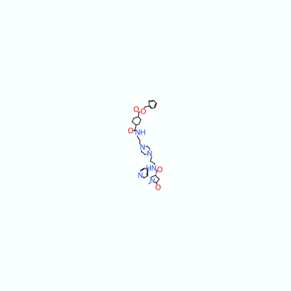 CN1C(=O)C[C@H](C(=O)NCCCN2CCN(CCCNC(=O)C3CCC(C(=O)OCc4ccccc4)CC3)CC2)[C@H]1c1cccnc1